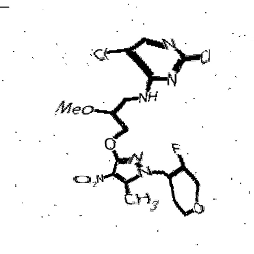 COC(CNc1nc(Cl)ncc1Cl)COc1nn(C2CCOCC2F)c(C)c1[N+](=O)[O-]